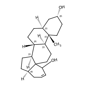 C[C@]12CC[C@@H](O)C[C@@H]1CC[C@H]1[C@@H]3CC[C@@H]4CC=CC(O)C43CC[C@@H]12